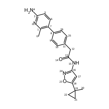 Cc1nc(N)ccc1-c1ccc(CC(=O)Nc2cc(C3(C)CC3)on2)cc1